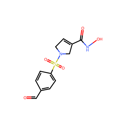 O=Cc1ccc(S(=O)(=O)N2CC=C(C(=O)NO)C2)cc1